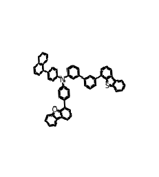 c1cc(-c2cccc(N(c3ccc(-c4cccc5ccccc45)cc3)c3ccc(-c4cccc5c4oc4ccccc45)cc3)c2)cc(-c2cccc3c2sc2ccccc23)c1